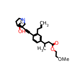 C=CCc1cc(C(C)CC(=O)OCCOC)ccc1C#CC1(O)CN2CCC1CC2